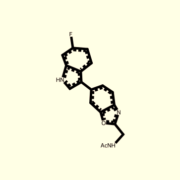 CC(=O)NCc1nc2ccc(-c3c[nH]c4cc(F)ccc34)cc2o1